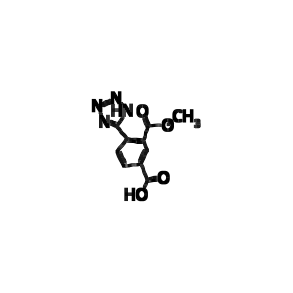 COC(=O)c1cc(C(=O)O)ccc1-c1nnn[nH]1